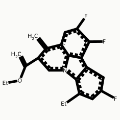 C=C(OCC)c1cn2c3c(CC)cc(F)cc3c3c(F)c(F)cc(c1=C)c32